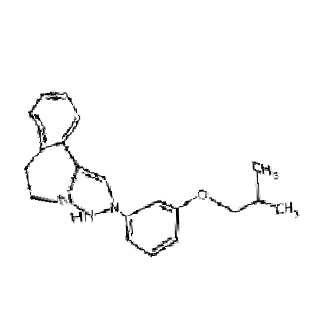 CC(C)COc1cccc(N2C=C3c4ccccc4CCN3N2)c1